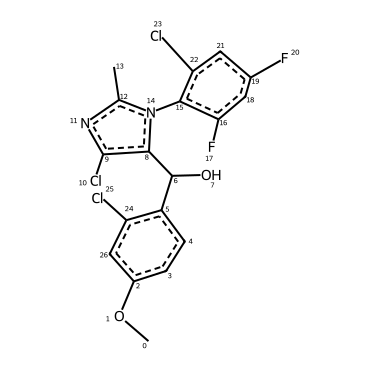 COc1ccc(C(O)c2c(Cl)nc(C)n2-c2c(F)cc(F)cc2Cl)c(Cl)c1